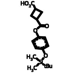 CC(C)(C)[Si](C)(C)Oc1ccc(OC(=O)C2CC(C(=O)O)C2)cc1